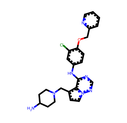 NC1CCN(Cc2ccn3ncnc(Nc4ccc(OCc5ccccn5)c(Cl)c4)c23)CC1